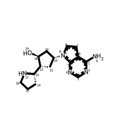 Nc1ncnc2c1ccn2[C@@H]1C[C@H]([C@@H]2CCCN2)[C@@H](O)C1